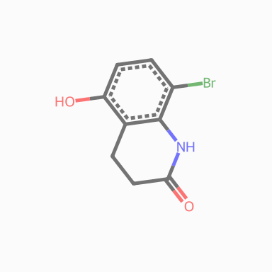 O=C1CCc2c(O)ccc(Br)c2N1